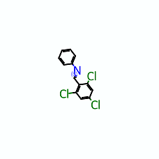 Clc1cc(Cl)c(/C=N/c2ccccc2)c(Cl)c1